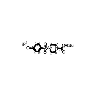 CC(C)Oc1ccc(S(=O)(=O)N2CCN(C(=O)OC(C)(C)C)CC2)cc1